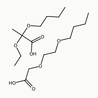 CCCCOC(C)(OCC)C(=O)O.CCCCOCCOCC(=O)O